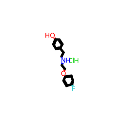 Cl.Oc1ccc(CCNCCOc2ccc(F)cc2)cc1